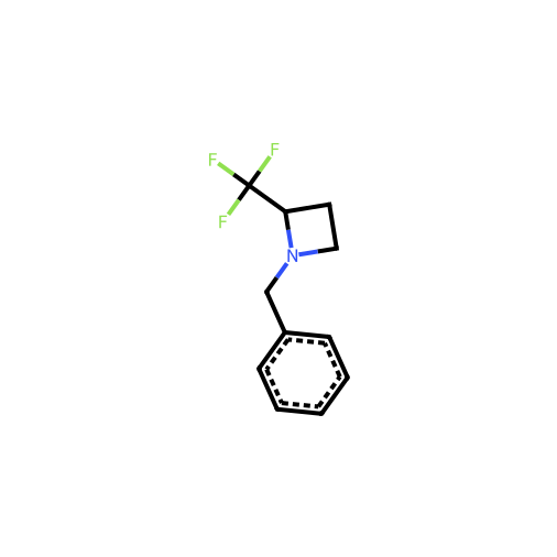 FC(F)(F)C1CCN1Cc1ccccc1